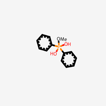 COP(O)(O)(c1ccccc1)c1ccccc1